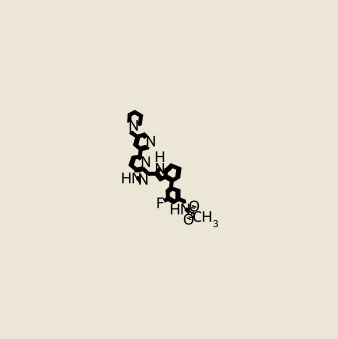 CS(=O)(=O)NCc1cc(F)cc(-c2cccc3[nH]c(-c4n[nH]c5ccc(-c6cncc(CN7CCCCC7)c6)nc45)cc23)c1